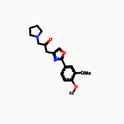 CCOc1ccc(-c2nc(CC(=O)CN3CCCC3)co2)cc1OC